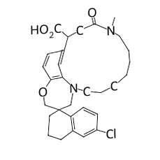 CN1CCCCCCCN2CC3(CCCc4cc(Cl)ccc43)COc3ccc(cc32)C(C(=O)O)CC1=O